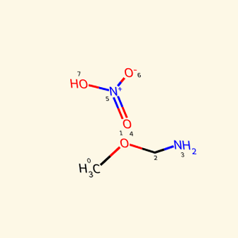 COCN.O=[N+]([O-])O